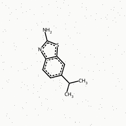 CC(C)c1ccc2nc(N)sc2c1